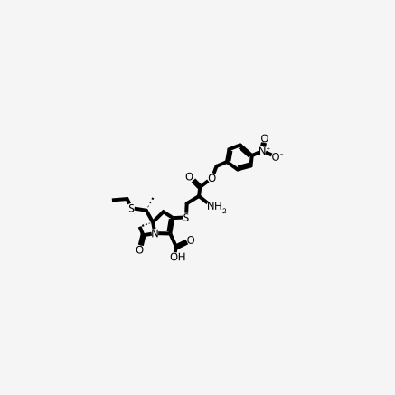 CCS[C@H](C)[C@]12CC(=O)N1C(C(=O)O)=C(SCC(N)C(=O)OCc1ccc([N+](=O)[O-])cc1)C2